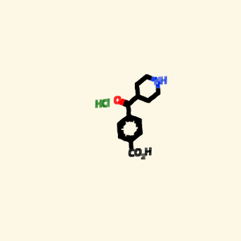 Cl.O=C(O)c1ccc(C(=O)C2CCNCC2)cc1